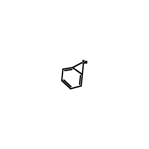 c1ccc2c(c1)[Se]2